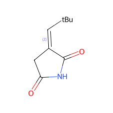 CC(C)(C)/C=C1/CC(=O)NC1=O